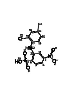 O=[N+]([O-])c1ccc(S(=O)(=O)O)c(Nc2ccc(I)cc2Cl)c1